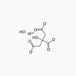 Cl.O=C([O-])CC(O)(CC(=O)[O-])C(=O)[O-].[Al+3]